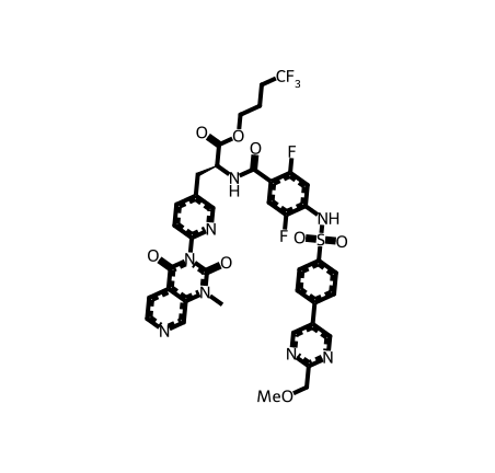 COCc1ncc(-c2ccc(S(=O)(=O)Nc3cc(F)c(C(=O)N[C@@H](Cc4ccc(-n5c(=O)c6ccncc6n(C)c5=O)nc4)C(=O)OCCCC(F)(F)F)cc3F)cc2)cn1